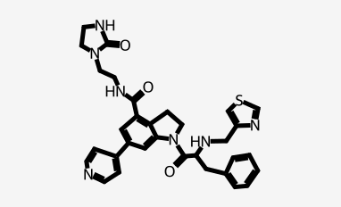 O=C(NCCN1CCNC1=O)c1cc(-c2ccncc2)cc2c1CCN2C(=O)C(Cc1ccccc1)NCc1cscn1